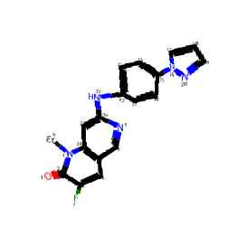 CCn1c(=O)c(F)cc2cnc(Nc3ccc(-n4cccn4)cc3)cc21